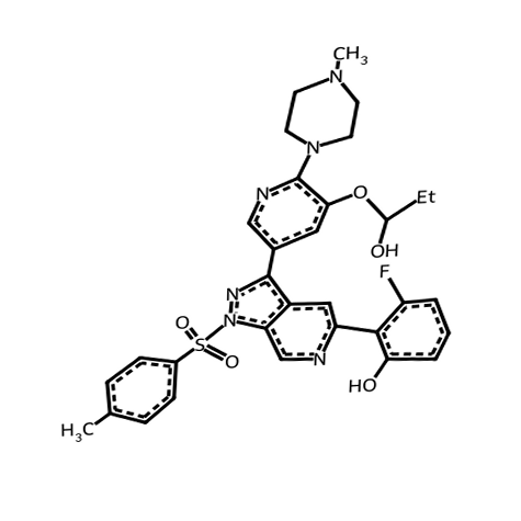 CCC(O)Oc1cc(-c2nn(S(=O)(=O)c3ccc(C)cc3)c3cnc(-c4c(O)cccc4F)cc23)cnc1N1CCN(C)CC1